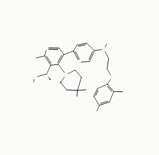 Cc1cc(F)ccc1OCCN(C)c1ccc(-c2cnc(C)c([C@H](OC(C)(C)C)C(=O)O)c2N2CCC(C)(C)CC2)nc1